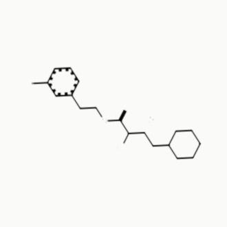 N[C@H](CC1CCCCC1)C(O)C(=O)NCCc1cccc(Cl)c1